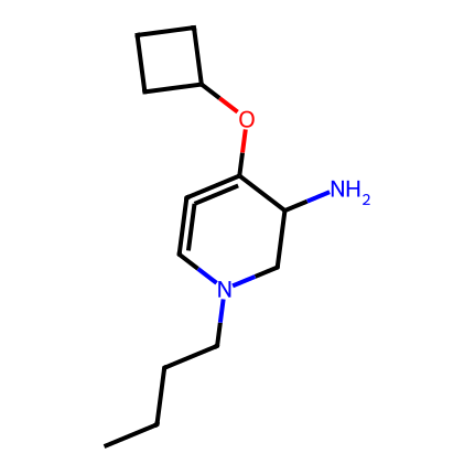 CCCCN1C=C=C(OC2CCC2)C(N)C1